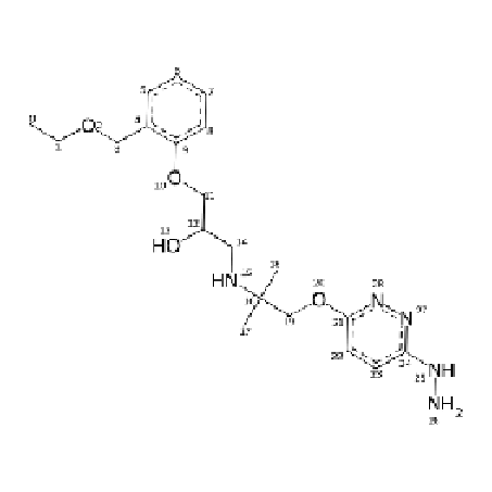 CCOCc1ccccc1OCC(O)CNC(C)(C)COc1ccc(NN)nn1